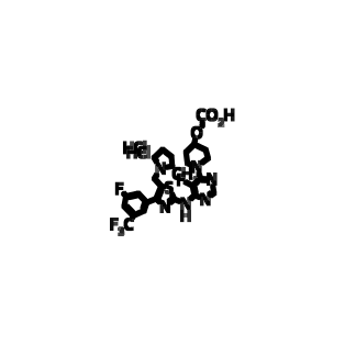 C[C@@H]1CCCN1Cc1sc(Nc2ncnc(N3CCC(OCC(=O)O)CC3)c2F)nc1-c1cc(F)cc(C(F)(F)F)c1.Cl.Cl